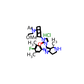 COCCN(C(C)=O)C12C3C4C1C1C2C3C41n1ccn(-c2c3c(nn2-c2cc(C)c(F)c(C)c2)CCN[C@H]3C)c1=O.Cl